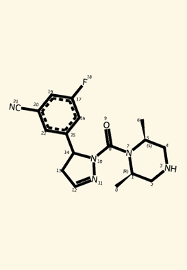 C[C@@H]1CNC[C@H](C)N1C(=O)N1N=CCC1c1cc(F)cc(C#N)c1